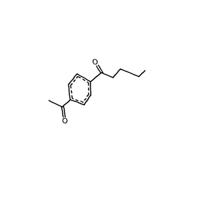 CCCCC(=O)c1ccc(C(C)=O)cc1